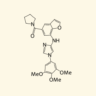 COc1cc(-n2cnc(Nc3cc(C(=O)N4CCCC4)cc4ccoc34)c2)cc(OC)c1OC